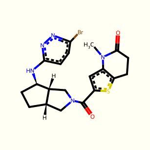 CN1C(=O)CCc2sc(C(=O)N3C[C@@H]4CC[C@@H](Nc5ccc(Br)nn5)[C@@H]4C3)cc21